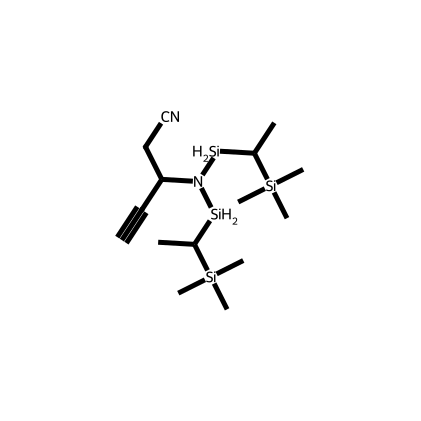 C#CC(CC#N)N([SiH2]C(C)[Si](C)(C)C)[SiH2]C(C)[Si](C)(C)C